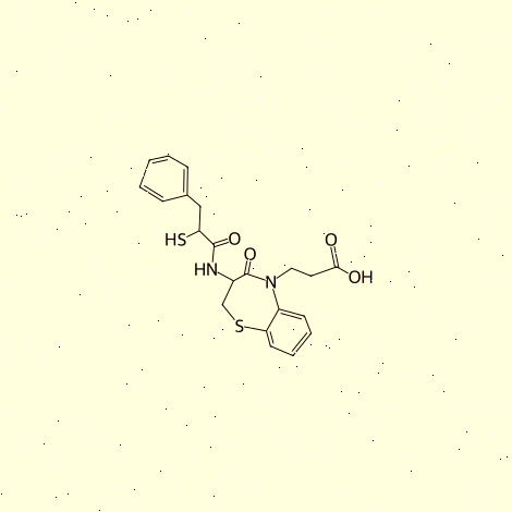 O=C(O)CCN1C(=O)C(NC(=O)C(S)Cc2ccccc2)CSc2ccccc21